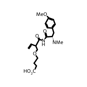 C=CC(COCCCC(=O)O)C(=O)NC(=O)[C@H](Cc1ccc(OC)cc1)NC